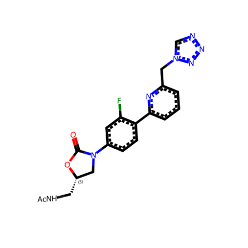 CC(=O)NC[C@H]1CN(c2ccc(-c3cccc(Cn4cnnn4)n3)c(F)c2)C(=O)O1